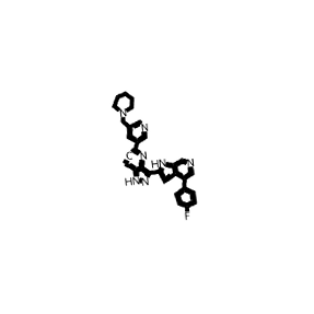 Fc1ccc(-c2cncc3[nH]c(-c4n[nH]c5ccc(-c6cncc(CN7CCCCC7)c6)nc45)cc23)cc1